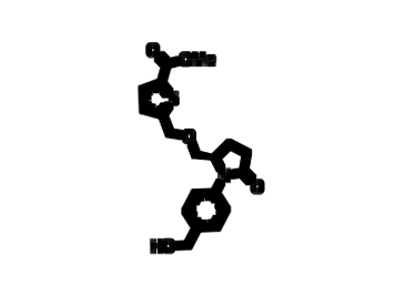 COC(=O)c1ccc(COC[C@H]2CCC(=O)N2c2ccc(CO)cc2)s1